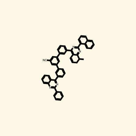 CC1CC=Cc2c(-c3cccc(-c4cc(C#N)cc(-c5cccc(-c6nc(-c7ccccc7)nc7ccccc67)c5)c4)c3)nc(-c3cccc4ccccc34)nc21